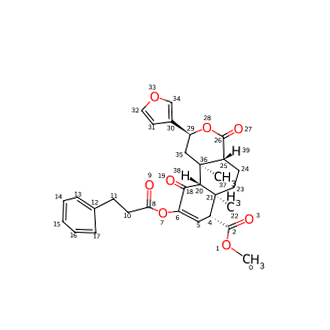 COC(=O)[C@@H]1C=C(OC(=O)CCc2ccccc2)C(=O)[C@H]2[C@@]1(C)CC[C@H]1C(=O)O[C@H](c3ccoc3)C[C@]21C